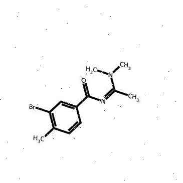 C/C(=N/C(=O)c1ccc(C)c(Br)c1)N(C)C